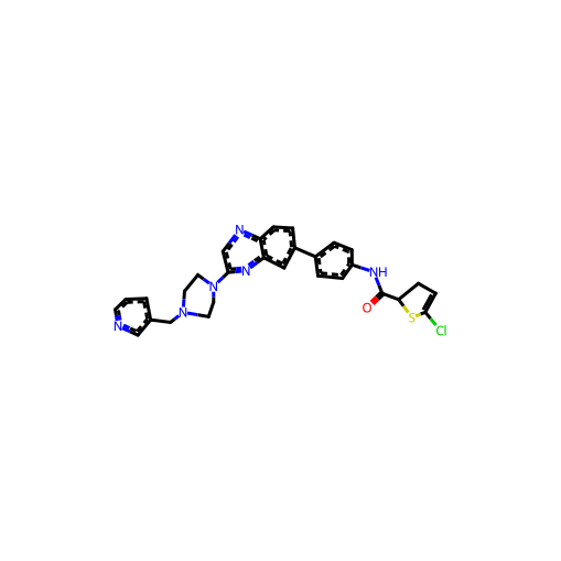 O=C(Nc1ccc(-c2ccc3ncc(N4CCN(Cc5cccnc5)CC4)nc3c2)cc1)C1CC=C(Cl)S1